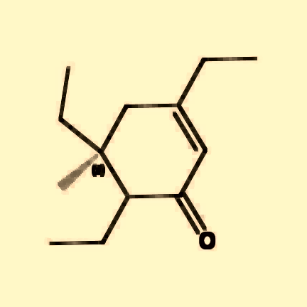 CCC1=CC(=O)C(CC)[C@@](C)(CC)C1